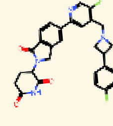 O=C1CCC(N2Cc3cc(-c4cc(CN5CC(c6ccc(F)cc6)C5)c(F)cn4)ccc3C2=O)C(=O)N1